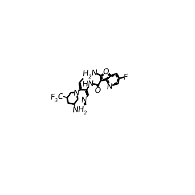 C=N/C=C(NC(=O)c1c(N)oc2cc(F)cnc12)\C(=C/C)N1C[C@@H](N)C[C@@H](C(F)(F)F)C1